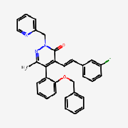 Cc1nn(Cc2ccccn2)c(=O)c(C=Cc2cccc(F)c2)c1-c1ccccc1OCc1ccccc1